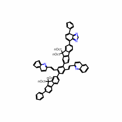 CCCCCCCCC1(CCCCCCCC)c2cc(-c3ccccc3)ccc2-c2ccc(-c3cc(/C=C/c4ccc5ccccc5n4)c(-c4ccc5c(c4)C(CCCCCCCC)(CCCCCCCC)c4cc(-c6ccc(-c7ccccc7)c7c6=NCN=7)ccc4-5)cc3/C=C/c3ccc4ccccc4n3)cc21